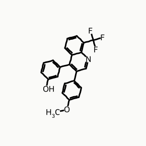 COc1ccc(-c2cnc3c(C(F)(F)F)cccc3c2-c2cccc(O)c2)cc1